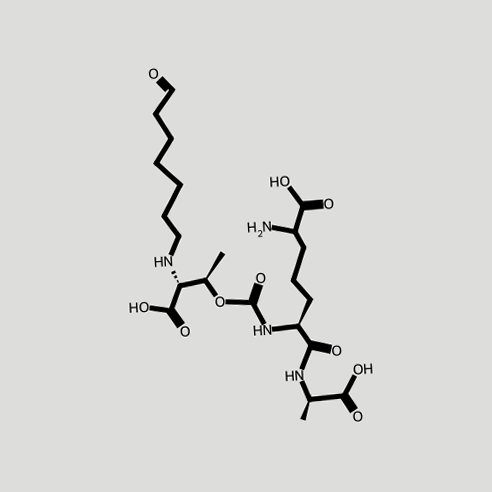 C[C@@H](NC(=O)[C@H](CCCC(N)C(=O)O)NC(=O)O[C@H](C)[C@@H](NCCCCCCC=O)C(=O)O)C(=O)O